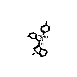 Cc1ccc(S(=O)(=O)NC(c2ccccc2)c2cn(C)c3ccccc23)cc1